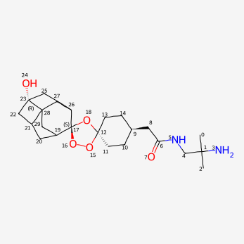 CC(C)(N)CNC(=O)C[C@H]1CC[C@]2(CC1)OO[C@@]1(O2)C2CC3C[C@@]4(O)CC1CC34C2